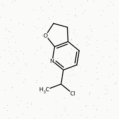 CC(Cl)c1ccc2c(n1)OCC2